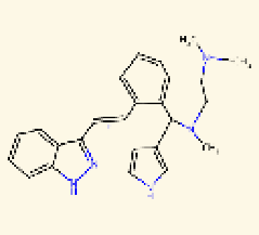 CN(C)CCN(C)C(c1cc[nH]c1)c1ccccc1/C=C/c1n[nH]c2ccccc12